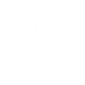 CN(C(=O)OC(C)(C)C)c1ncc(C#N)s1